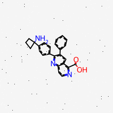 NC1(c2ccc(-c3nc4ccnc(C(=O)O)c4cc3-c3ccccc3)cc2)CCC1